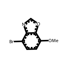 COc1ccc(Br)c2ncoc12